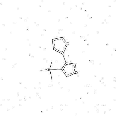 C[Si](C)(C)c1cocc1-c1ccco1